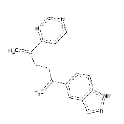 C=C(CCC(=C)c1ccncn1)c1ccc2[nH]ncc2c1